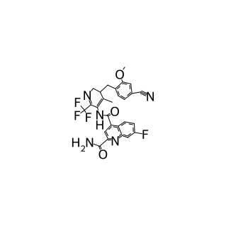 COc1cc(C#N)ccc1CC1CN=C(C(F)(F)F)C(NC(=O)c2cc(C(N)=O)nc3cc(F)ccc23)=C1C